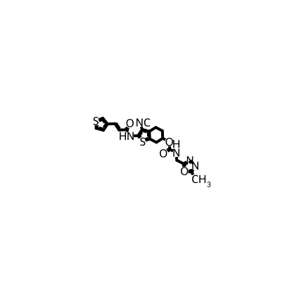 Cc1nnc(CNC(=O)OC2CCc3c(sc(NC(=O)C=Cc4ccsc4)c3C#N)C2)o1